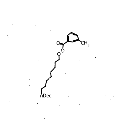 [CH2]CCCCCCCCCCCCCCCCCOOC(=O)c1cccc(C)c1